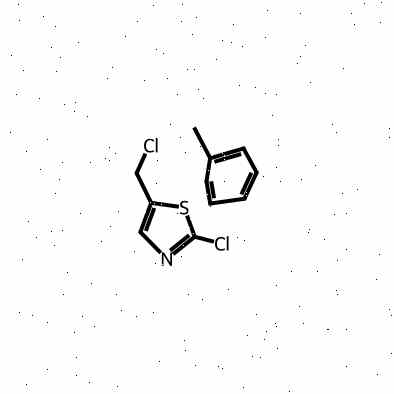 Cc1ccccc1.ClCc1cnc(Cl)s1